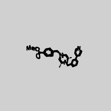 COC(=O)c1ccc(CN2C[C@@H](C)N(Cc3cccc(-c4ccncc4)c3)[C@@H](C)C2)cc1